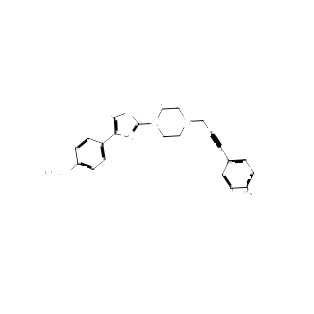 COc1ccc(-c2csc(N3CCN(CC#Cc4ccc(C(F)(F)F)cc4)CC3)n2)cc1